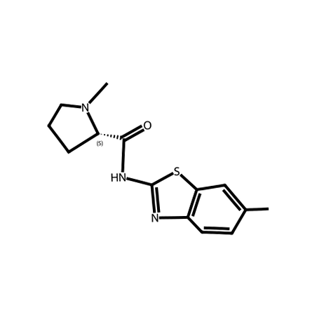 Cc1ccc2nc(NC(=O)[C@@H]3CCCN3C)sc2c1